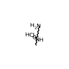 CCCCNC(=O)CCCCCCCN.Cl